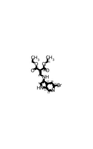 CCOC(=O)C(=CNc1c[nH]c2cnc(Br)cc12)C(=O)OCC